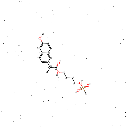 COc1ccc2cc([C@H](C)C(=O)OCCCCOS(C)(=O)=O)ccc2c1